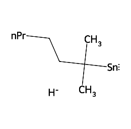 CCCCC[C](C)(C)[Sn].[H-]